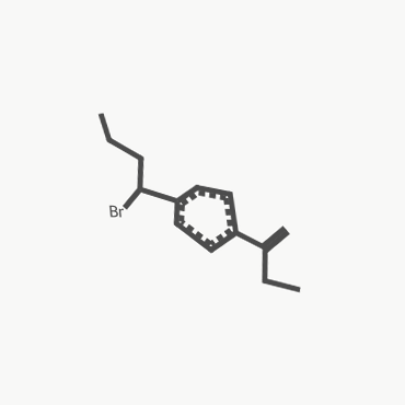 C=C(CC)c1ccc(C(Br)CCC)cc1